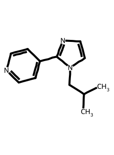 CC(C)Cn1ccnc1-c1ccncc1